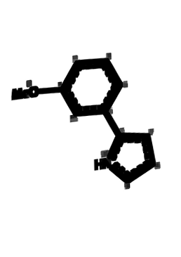 [CH2]Oc1cccc(-c2ccc[nH]2)c1